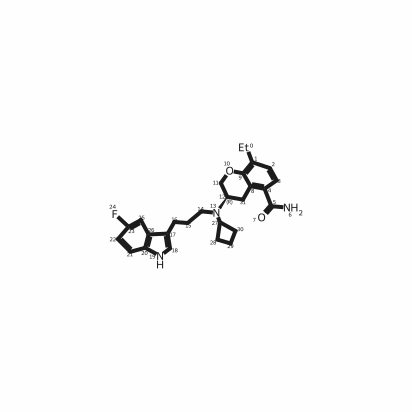 CCc1ccc(C(N)=O)c2c1OC[C@H](N(CCCc1c[nH]c3ccc(F)cc13)C1CCC1)C2